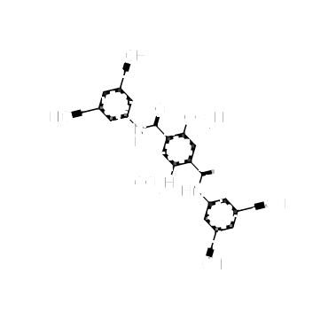 C#Cc1cc(C#C)cc(NC(=O)c2cc(C(=O)O)c(C(=O)Nc3cc(C#C)cc(C#C)c3)cc2C(=O)O)c1